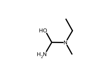 CCN(C)C(N)O